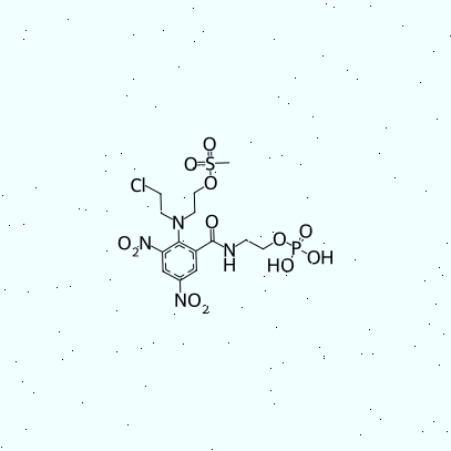 CS(=O)(=O)OCCN(CCCl)c1c(C(=O)NCCOP(=O)(O)O)cc([N+](=O)[O-])cc1[N+](=O)[O-]